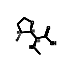 CN[C@H](C(=O)O)[C@@H]1OCC[C@H]1C